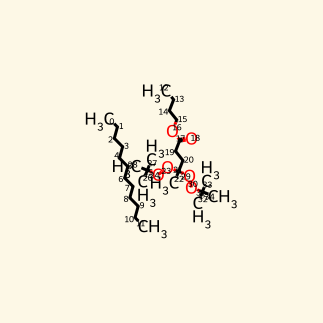 CCCCCCCCCCCC.CCCCOC(=O)CCC(C)(OOC(C)(C)C)OOC(C)(C)C